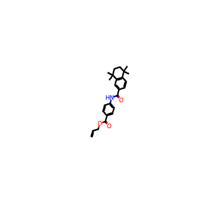 C=CCOC(=O)c1ccc(NC(=O)c2ccc3c(c2)C(C)(C)CCC3(C)C)cc1